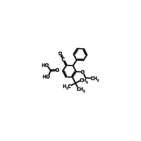 CCOC1=C(C(C)(C)C)C=CC(=C=O)C1c1ccccc1.O=C(O)O